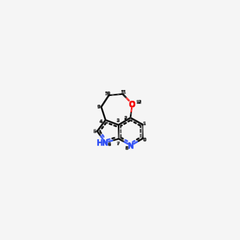 c1cc2c3c(c[nH]c3n1)CCCO2